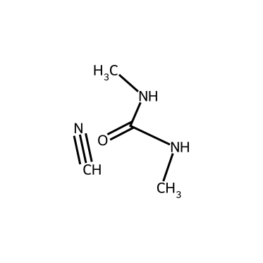 C#N.CNC(=O)NC